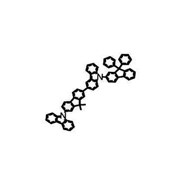 CC1(C)c2cc(-c3ccc4c(c3)c3ccccc3n4-c3ccc4c(c3)C(c3ccccc3)(c3ccccc3)c3ccccc3-4)ccc2-c2ccc(-n3c4ccccc4c4ccccc43)cc21